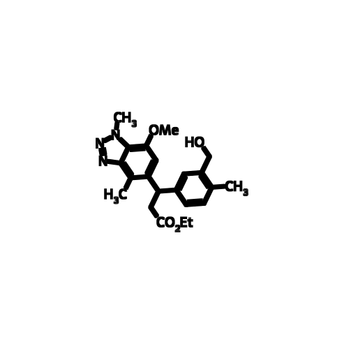 CCOC(=O)CC(c1ccc(C)c(CO)c1)c1cc(OC)c2c(nnn2C)c1C